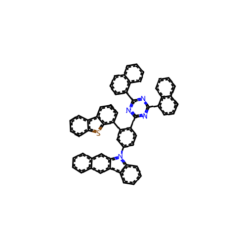 c1ccc2cc3c(cc2c1)c1ccccc1n3-c1ccc(-c2nc(-c3cccc4ccccc34)nc(-c3cccc4ccccc34)n2)c(-c2cccc3c2sc2ccccc23)c1